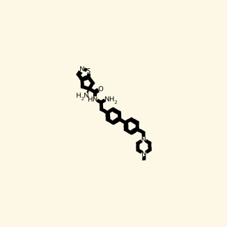 CN1CCN(Cc2ccc(-c3ccc(CC(N)NC(=O)[C@]4(N)Cc5cnsc5C4)cc3)cc2)CC1